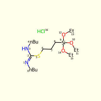 CCCCN=C(NCCCC)SCCC[Si](OCC)(OCC)OCC.Cl